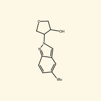 CC(C)(C)c1ccc2nn(C3COCC3O)cc2c1